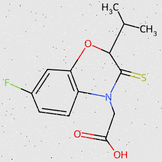 CC(C)C1Oc2cc(F)ccc2N(CC(=O)O)C1=S